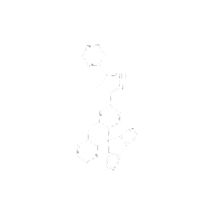 c1ccc(C2NN=C(c3ccc4c(c3)Oc3ccccc3C43c4ccccc4-c4ccccc43)S2)cc1